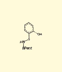 CCCCCNSc1ccccc1O